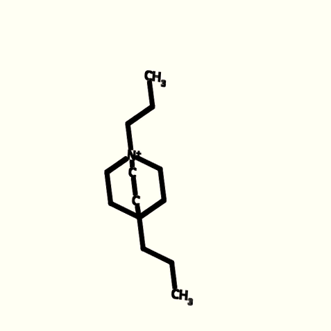 CCCC12CC[N+](CCC)(CC1)CC2